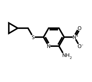 Nc1nc(SCC2CC2)ccc1[N+](=O)[O-]